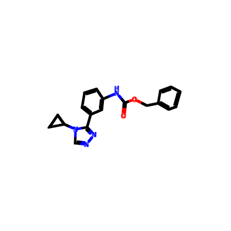 O=C(Nc1cccc(-c2nncn2C2CC2)c1)OCc1ccccc1